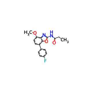 CCC(=O)Nc1nc2c(OC)ccc(-c3ccc(F)cc3)c2o1